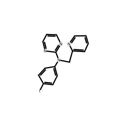 Ic1ccc(N(Cc2ccccn2)c2ncccn2)cc1